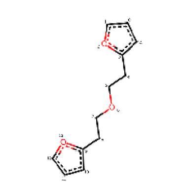 c1coc(CCOCCc2ccco2)c1